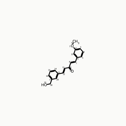 COc1cccc(/C=C/C(=O)/C=C/c2cccc(CO)c2)c1